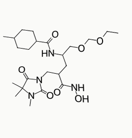 CCOCOCC(CC(CN1C(=O)N(C)C(C)(C)C1=O)C(=O)NO)NC(=O)C1CCC(C)CC1